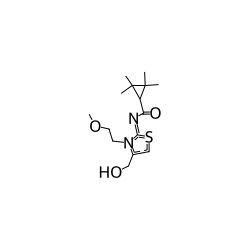 COCCn1c(CO)csc1=NC(=O)C1C(C)(C)C1(C)C